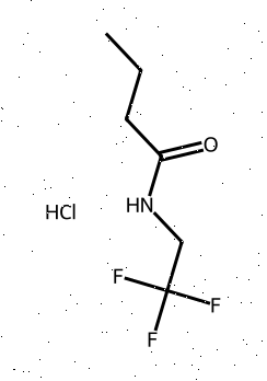 CCCC(=O)NCC(F)(F)F.Cl